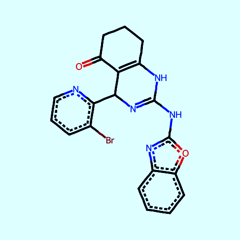 O=C1CCCC2=C1C(c1ncccc1Br)N=C(Nc1nc3ccccc3o1)N2